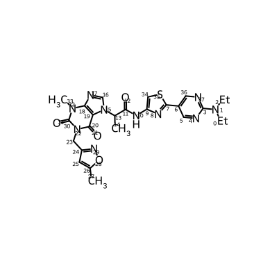 CCN(CC)c1ncc(-c2nc(NC(=O)C(C)n3cnc4c3c(=O)n(Cc3cc(C)on3)c(=O)n4C)cs2)cn1